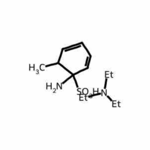 CC1C=CC=CC1(N)S(=O)(=O)O.CCN(CC)CC